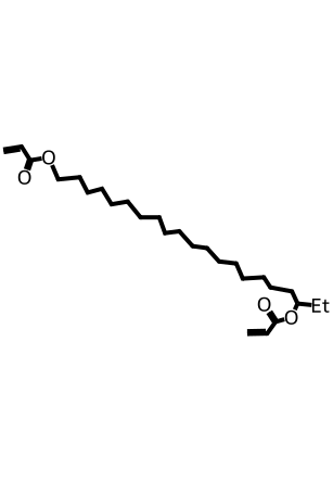 C=CC(=O)OCCCCCCCCCCCCCCCCCCC(CC)OC(=O)C=C